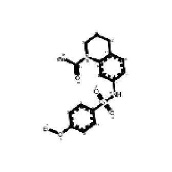 CCOc1ccc(S(=O)(=O)Nc2ccc3c(c2)N(C(=O)C(C)(C)C)CCC3)cc1